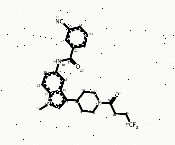 Cn1cc(C2CCN(C(=O)CCC(F)(F)F)CC2)c2cc(NC(=O)c3cccc(C#N)c3)ccc21